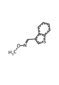 CO/N=C/c1csc2ccccc12